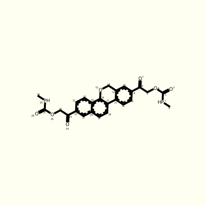 CPC(=O)OCC(=O)c1ccc2c(c1)COc1c-2ccc2cc(C(=O)COC(=O)PC)ccc12